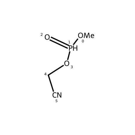 CO[PH](=O)OCC#N